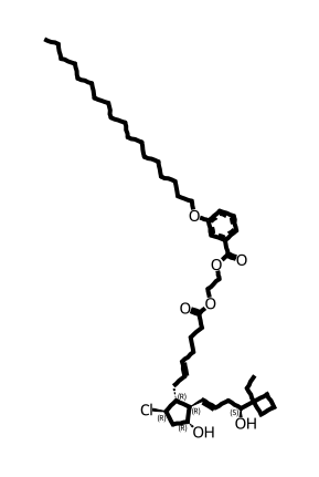 CCCCCCCCCCCCCCCCCCOc1cccc(C(=O)OCCOC(=O)CCCC=CC[C@@H]2[C@@H](C=CC[C@H](O)C3(CC)CCC3)[C@H](O)C[C@H]2Cl)c1